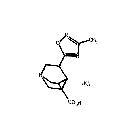 Cc1noc(C2CN3CCC2C(C(=O)O)C3)n1.Cl